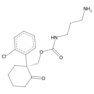 NCCCNC(=O)OC[C@@]1(c2ccccc2Cl)CCCCC1=O